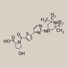 CC1(C)CC(Nc2nccc(-c3ccc(C(=O)N4C[C@H](O)C[C@H]4C(=O)O)s3)n2)CC(C)(C)N1